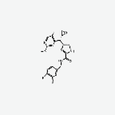 CSc1ncc(C)c(C(c2c[nH]c(C(=O)NCc3ccc(F)c(F)c3)n2)[C@@H]2CO2)n1